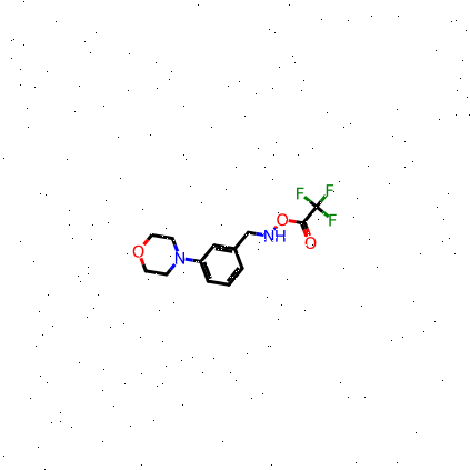 O=C(ONCc1cccc(N2CCOCC2)c1)C(F)(F)F